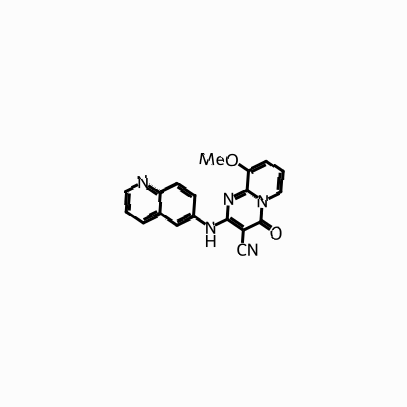 COc1cccn2c(=O)c(C#N)c(Nc3ccc4ncccc4c3)nc12